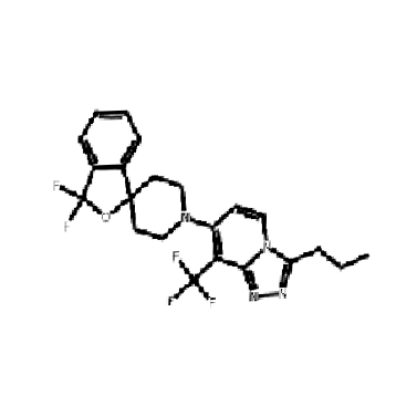 CCCc1nnc2c(C(F)(F)F)c(N3CCC4(CC3)OC(F)(F)c3ccccc34)ccn12